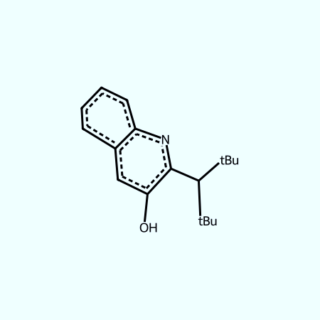 CC(C)(C)C(c1nc2ccccc2cc1O)C(C)(C)C